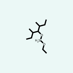 CCO[SiH2]OC(C(C)CC)C(C)CC